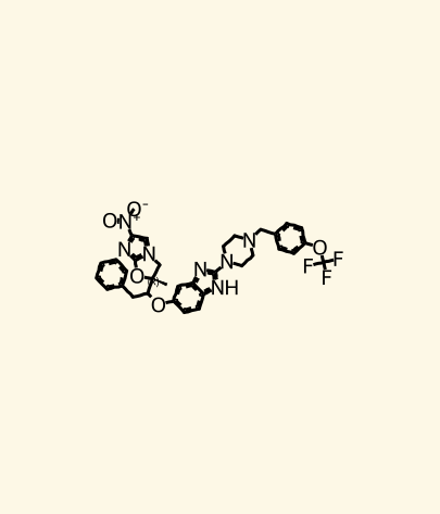 C[C@]1(C(Cc2ccccc2)Oc2ccc3[nH]c(N4CCN(Cc5ccc(OC(F)(F)F)cc5)CC4)nc3c2)Cn2cc([N+](=O)[O-])nc2O1